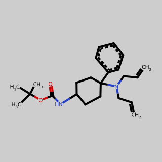 C=CCN(CC=C)C1(c2ccccc2)CCC(NC(=O)OC(C)(C)C)CC1